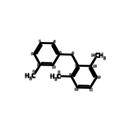 Cc1cccc(Cc2c(C)cccc2C)c1